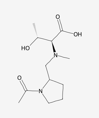 CC(=O)N1CCCC1CN(C)[C@H](C(=O)O)[C@@H](C)O